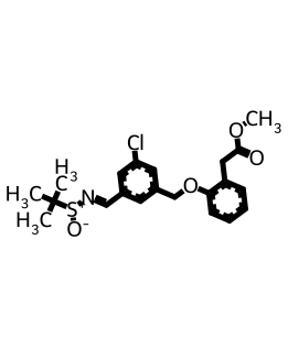 COC(=O)Cc1ccccc1OCc1cc(Cl)cc(C=N[S+]([O-])C(C)(C)C)c1